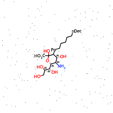 CCCCCCCCCCCCCC[CH2][Po][CH]1[C@H](O)[C@@H](N)[C@H]([C@H](O)[C@H](O)CO)OC1(O)C(=O)O